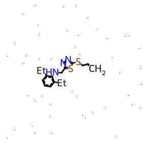 C=CCSc1nnc(CNc2c(CC)cccc2CC)s1